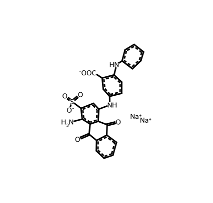 Nc1c(S(=O)(=O)[O-])cc(Nc2ccc(Nc3ccccc3)c(C(=O)[O-])c2)c2c1C(=O)c1ccccc1C2=O.[Na+].[Na+]